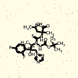 CC(C)CC(C)(NC(=S)N(NC(=O)OC(C)(C)C)[C@H](C)[C@](O)(Cn1cncn1)c1ccc(F)cc1F)C(=O)O